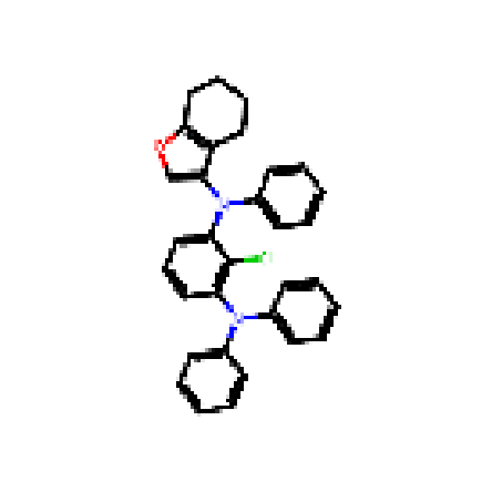 Clc1c(N(c2ccccc2)c2ccccc2)cccc1N(c1ccccc1)c1coc2c1CCCC2